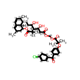 CCC(C)(C)C(=O)O[C@H]1C[C@@H](C)C=C2C=C[C@H](C)[C@H](CC[C@@H](O)C[C@@H](O)CC(=O)OCOC(=O)C(C)(C)Oc3ccc(C(=O)c4ccc(Cl)cc4)cc3)[C@H]21